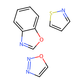 c1ccc2ocnc2c1.c1cnsc1.c1conn1